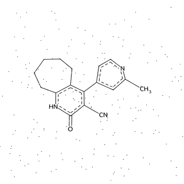 Cc1cc(-c2c3c([nH]c(=O)c2C#N)CCCCC3)ccn1